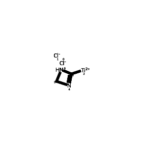 [Cl-].[Cl-].[Ti+2][C]1=NCN1